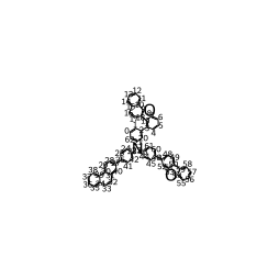 c1cc(-c2cccc3oc4c5ccccc5ccc4c23)cc(N(c2ccc(-c3ccc4c(ccc5ccccc54)c3)cc2)c2ccc(-c3ccc4c(c3)oc3ccccc34)cc2)c1